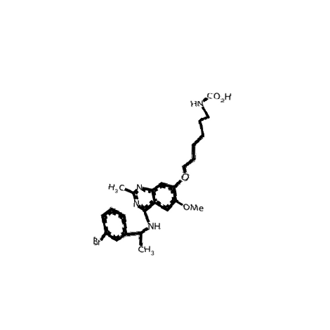 COc1cc2c(NC(C)c3cccc(Br)c3)nc(C)nc2cc1OCCCCCCNC(=O)O